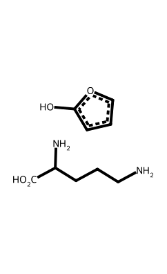 NCCCC(N)C(=O)O.Oc1ccco1